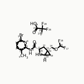 Cc1ccc(Br)nc1NC(=O)[C@@H]1C[C@@]2(COC(F)F)C[C@H]2N1.O=C(O)C(F)(F)F